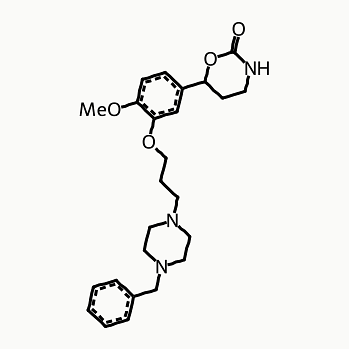 COc1ccc(C2CCNC(=O)O2)cc1OCCCN1CCN(Cc2ccccc2)CC1